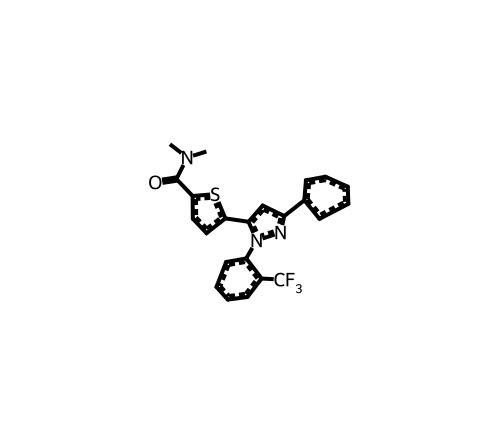 CN(C)C(=O)c1ccc(-c2cc(-c3ccccc3)nn2-c2ccccc2C(F)(F)F)s1